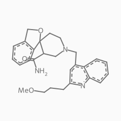 COCCCc1cc(CN2CCC3(OCc4ccccc43)C(C(N)=O)C2)c2ccccc2n1